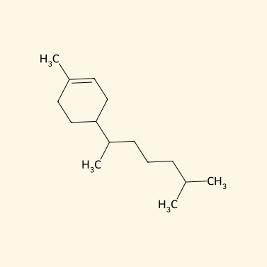 CC1=CCC(C(C)CCCC(C)C)CC1